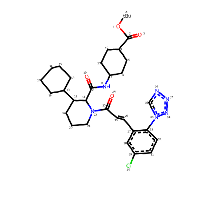 CC(C)(C)OC(=O)C1CCC(NC(=O)C2C(C3CCCCC3)CCCN2C(=O)C=Cc2cc(Cl)ccc2-n2cnnn2)CC1